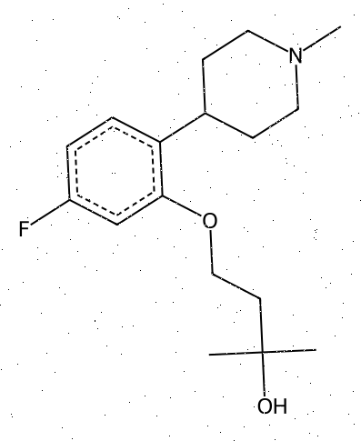 CN1CCC(c2ccc(F)cc2OCCC(C)(C)O)CC1